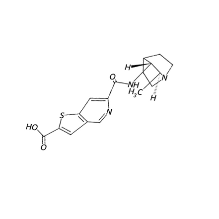 C[C@H]1[C@H](NC(=O)c2cc3sc(C(=O)O)cc3cn2)C2CCN1CC2